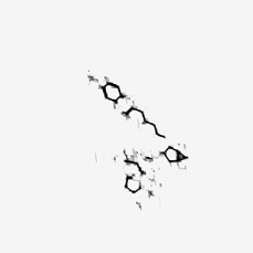 CC[C@@H]1CCN(C(=O)[C@@H](NC(=O)OC2C[C@H]3C[C@H]3[C@H]2CCCCCc2nc3ccc(OC)cc3nc2O)C(C)(C)C)[C@@H]1C(C)=O